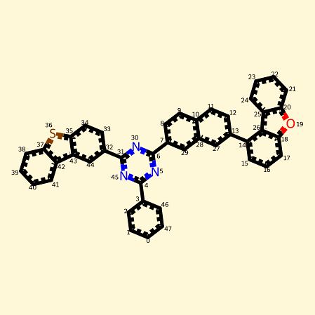 c1ccc(-c2nc(-c3ccc4ccc(-c5cccc6oc7ccccc7c56)cc4c3)nc(-c3ccc4sc5ccccc5c4c3)n2)cc1